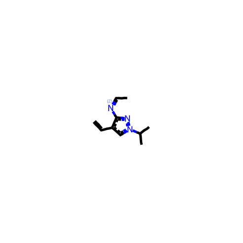 C=Cc1cn(C(C)C)nc1/N=C\C